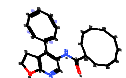 O=C(Nc1cnc2c(c1C1=C/C=C\C=C/C=C\1)CCO2)C1CCCCCCCCC1